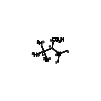 [2H]C([2H])([2H])C(C(=O)O)N(C)C